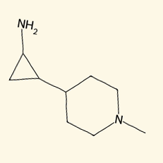 CN1CCC(C2CC2N)CC1